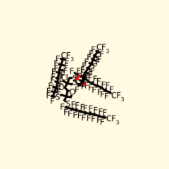 OC(C1OCC1(CSC(F)(F)C(F)(F)C(F)(F)C(F)(F)C(F)(F)C(F)(F)C(F)(F)C(F)(F)C(F)(F)C(F)(F)F)CSC(F)(F)C(F)(F)C(F)(F)C(F)(F)C(F)(F)C(F)(F)C(F)(F)C(F)(F)C(F)(F)C(F)(F)F)C(CCl)(CSC(F)(F)C(F)(F)C(F)(F)C(F)(F)C(F)(F)C(F)(F)C(F)(F)C(F)(F)C(F)(F)C(F)(F)F)CSC(F)(F)C(F)(F)C(F)(F)C(F)(F)C(F)(F)C(F)(F)C(F)(F)C(F)(F)C(F)(F)C(F)(F)F